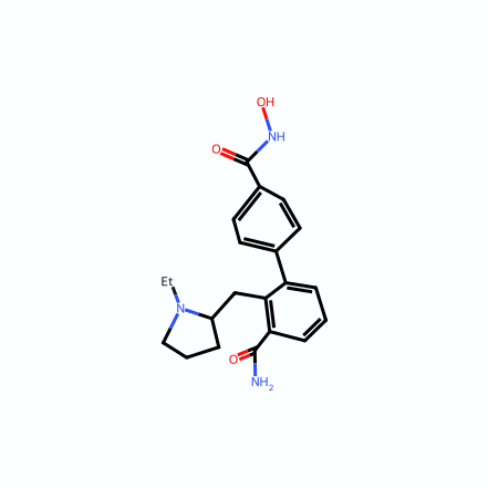 CCN1CCCC1Cc1c(C(N)=O)cccc1-c1ccc(C(=O)NO)cc1